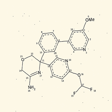 COc1cncc(-c2cccc(C3(c4ccc(OC(F)F)nc4)COCC(N)=N3)c2)c1